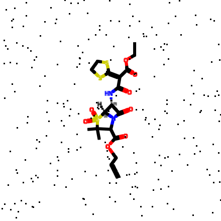 C=CCOC(=O)C1N2C(=O)[C@@H](NC(=O)C(C(=O)OCC)=C3SCCS3)[C@@H]2S(=O)(=O)C1(C)C